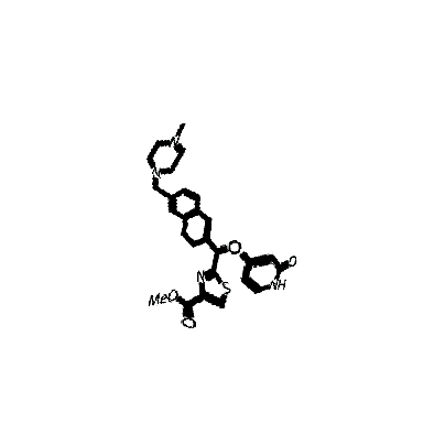 COC(=O)c1csc(C(Oc2cc[nH]c(=O)c2)C2=Cc3ccc(CN4CCN(C)CC4)cc3CC2)n1